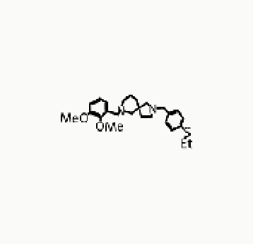 CCSc1ccc(CN2CC[C@@]3(CCCN(Cc4cccc(OC)c4OC)C3)C2)cc1